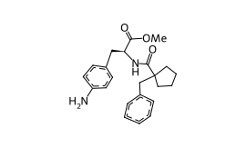 COC(=O)[C@H](Cc1ccc(N)cc1)NC(=O)C1(Cc2ccccc2)CCCC1